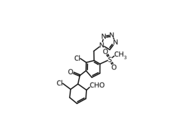 CS(=O)(=O)c1ccc(C(=O)C2C(C=O)C=CCC2Cl)c(Cl)c1Cn1cnnn1